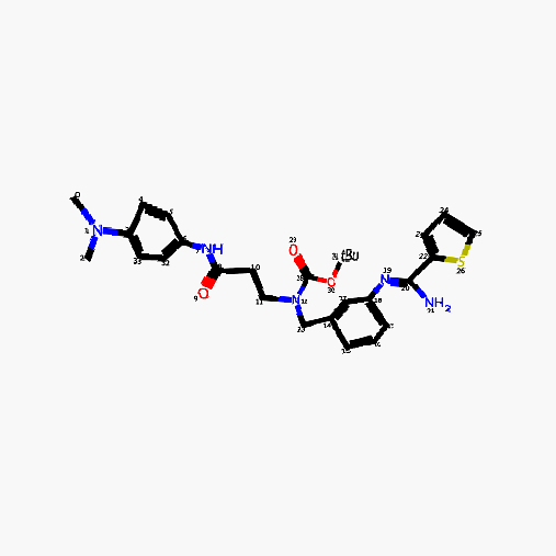 CN(C)c1ccc(NC(=O)CCN(Cc2cccc(/N=C(\N)c3cccs3)c2)C(=O)OC(C)(C)C)cc1